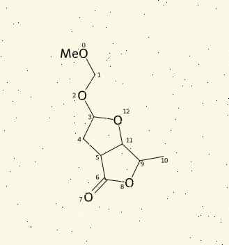 COCOC1CC2C(=O)OC(C)C2O1